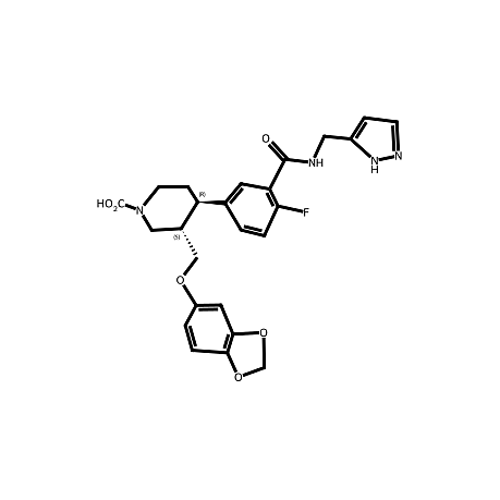 O=C(NCc1ccn[nH]1)c1cc([C@@H]2CCN(C(=O)O)C[C@H]2COc2ccc3c(c2)OCO3)ccc1F